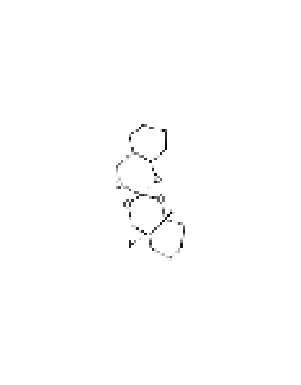 C1CCC2O[C@@]3(OCC2C1)OC[C@@H]1CCCC[C@H]1O3